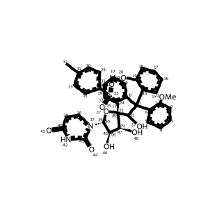 COc1ccccc1C(c1ccccc1)(c1ccccc1OC)C(O)[C@@]1(CS(=O)(=O)c2ccc(C)cc2)O[C@@H](n2ccc(=O)[nH]c2=O)[C@H](O)[C@@H]1O